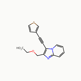 O=C(O)COCc1nc2ccccn2c1C#Cc1ccsc1